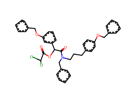 O=C(OC(C(=O)N(CCCc1ccc(OCc2ccccc2)cc1)Cc1ccccc1)c1cccc(OCc2ccccc2)c1)C(Cl)Cl